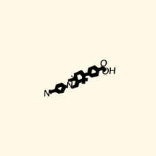 CC1(C)C(c2ccc(C(=O)O)cc2)=CC[C@]2(C)CN(c3ccc(C#N)cc3)CC=C12